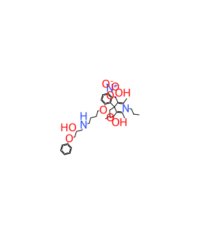 CCCN1C(C)=C(C(=O)O)C(CCC)(c2cc([N+](=O)[O-])ccc2OCCCCNCC(O)COc2ccccc2)C(C(=O)O)=C1C